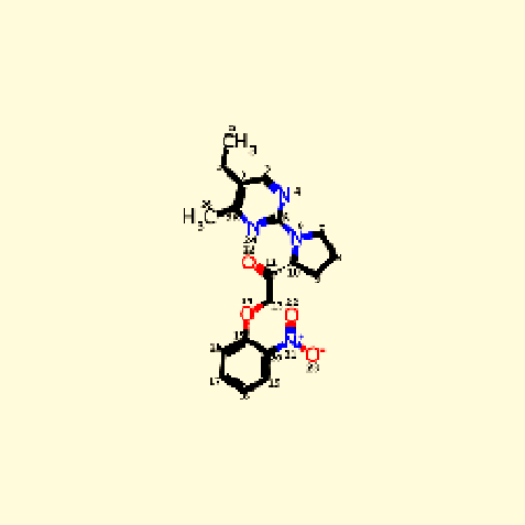 CCc1cnc(N2CCC[C@@H]2C(=O)COc2ccccc2[N+](=O)[O-])nc1C